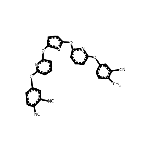 [C-]#[N+]c1ccc(Oc2cccc(Oc3ccc(Oc4cccc(Oc5ccc(C)c(C#N)c5)n4)s3)n2)cc1[N+]#[C-]